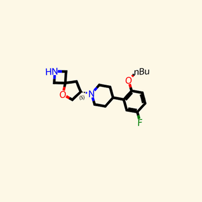 CCCCOc1ccc(F)cc1C1CCN([C@@H]2COC3(CNC3)C2)CC1